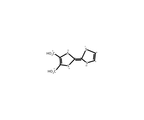 O=C(O)C1=C(C(=O)O)SC(=C2SC=CS2)S1